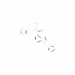 O=C(c1cccc2c1ccn2Cc1ccccn1)N(C1CC1)C1CCc2[nH]ncc2C1